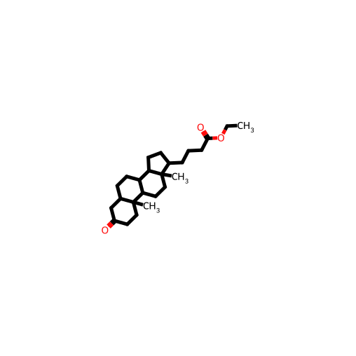 CCOC(=O)CCCC1CCC2C3CCC4CC(=O)CCC4(C)C3CCC12C